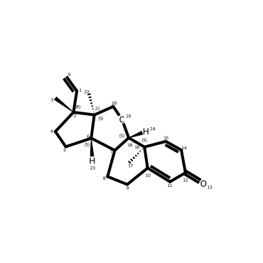 C=C[C@@]1(C)CC[C@H]2C3CCC4=CC(=O)C=C[C@]4(C)[C@H]3CC[C@@]21C